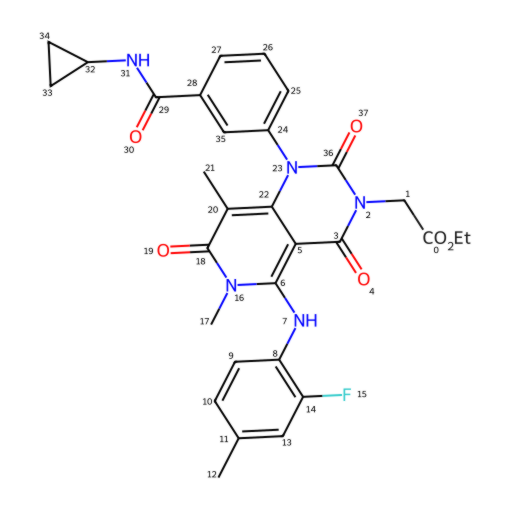 CCOC(=O)Cn1c(=O)c2c(Nc3ccc(C)cc3F)n(C)c(=O)c(C)c2n(-c2cccc(C(=O)NC3CC3)c2)c1=O